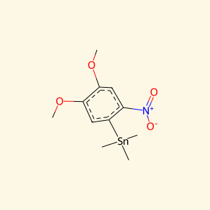 COc1cc([N+](=O)[O-])[c]([Sn]([CH3])([CH3])[CH3])cc1OC